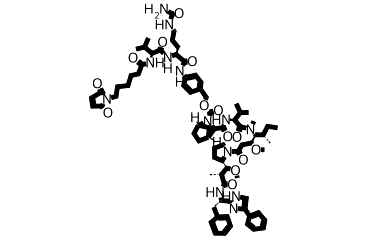 CC[C@H](C)[C@@H](C(CC(=O)N1CCC[C@H]1C(OC)[C@@H](C)C(=O)N[C@@H](Cc1ccccc1)c1nc(-c2ccccc2)c[nH]1)OC)N(C)C(=O)[C@@H](NC(=O)C1[C@H]2CC[C@H](C2)N1C(=O)OCc1ccc(NC(=O)[C@H](CCCNC(N)=O)NC(=O)[C@@H](NC(=O)CCCCCN2C(=O)C=CC2=O)C(C)C)cc1)C(C)C